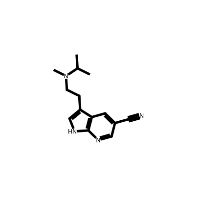 CC(C)N(C)CCc1c[nH]c2ncc(C#N)cc12